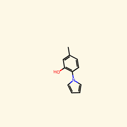 Cc1ccc(-n2cccc2)c(O)c1